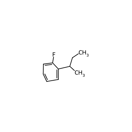 CCC(C)c1ccccc1F